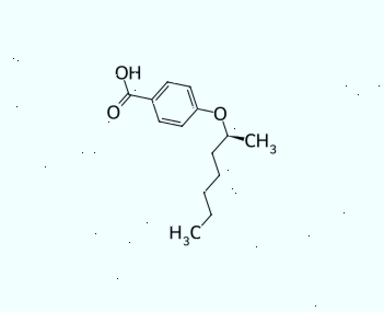 CCCCC[C@H](C)Oc1ccc(C(=O)O)cc1